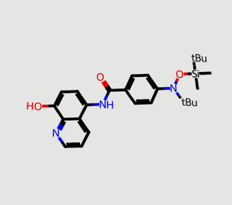 CC(C)(C)N(O[Si](C)(C)C(C)(C)C)c1ccc(C(=O)Nc2ccc(O)c3ncccc23)cc1